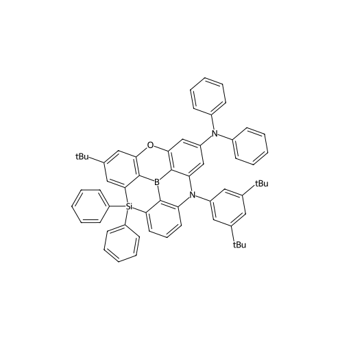 CC(C)(C)c1cc(N2c3cc(N(c4ccccc4)c4ccccc4)cc4c3B3c5c(cc(C(C)(C)C)cc5[Si](c5ccccc5)(c5ccccc5)c5cccc2c53)O4)cc(C(C)(C)C)c1